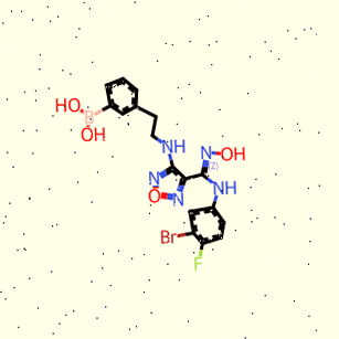 O/N=C(\Nc1ccc(F)c(Br)c1)c1nonc1NCCc1cccc(B(O)O)c1